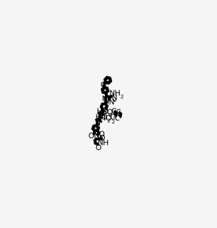 Nc1ncnc2c1c(-c1ccc(Oc3ccccc3)cc1)nn2C1CCN(C2CN(C3CN(c4ccc5c(c4)C(=O)N(C4CCC(=O)NC4=O)C5=O)C3)C2)CC1.O=C(O)/C=C\C(=O)O.O=C(O)/C=C\C(=O)O